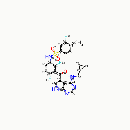 Cc1ccc(S(=O)(=O)Nc2ccc(F)c(C(=O)c3c[nH]c4ncnc(NCC5CC5)c34)c2F)cc1F